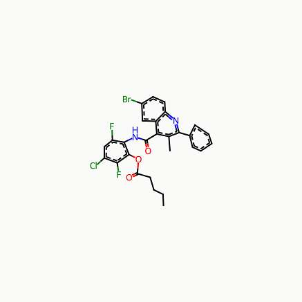 CCCCC(=O)Oc1c(F)c(Cl)cc(F)c1NC(=O)c1c(C)c(-c2ccccc2)nc2ccc(Br)cc12